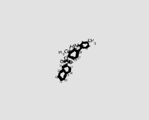 Cc1ccc2c(c1)[nH]c1c(C)c(OS(=O)(=O)c3ccc4ccccc4c3)ccc12